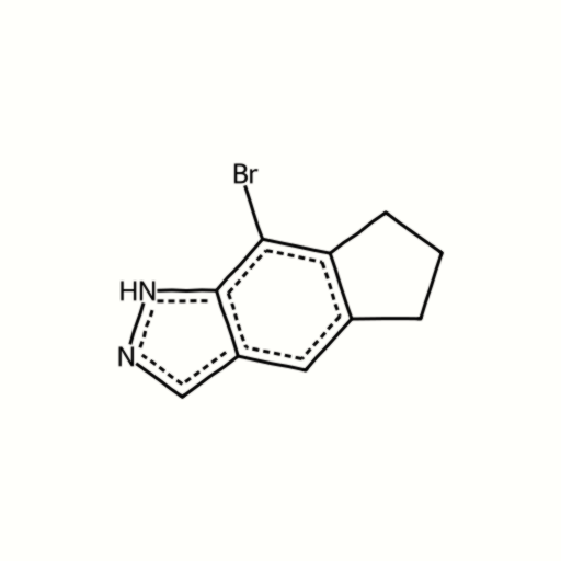 Brc1c2c(cc3cn[nH]c13)CCC2